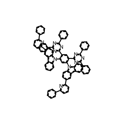 c1ccc(-c2cccc(-c3ccc4c(c3)c3ccccc3n4-c3cc(-n4c5ccccc5c5cc(-c6cccc(-c7ccccc7)n6)ccc54)c(-c4nc(-c5ccccc5)nc(-c5ccccc5)n4)cc3-c3nc(-c4ccccc4)nc(-c4ccccc4)n3)n2)cc1